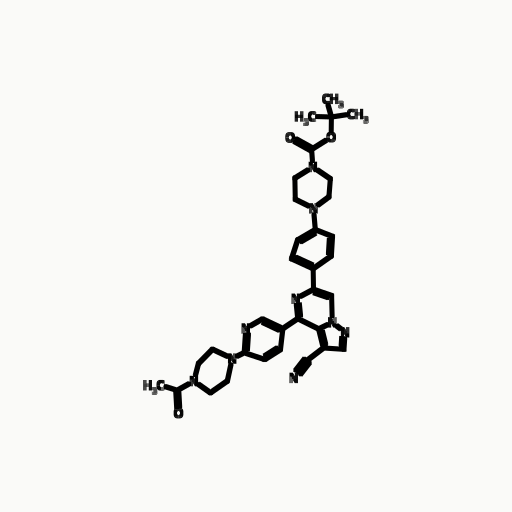 CC(=O)N1CCN(c2ccc(-c3nc(-c4ccc(N5CCN(C(=O)OC(C)(C)C)CC5)cc4)cn4ncc(C#N)c34)cn2)CC1